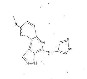 COc1ccc2nc(Nc3cn[nH]c3)c3[nH]ncc3c2c1